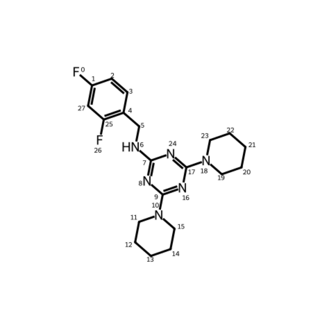 Fc1ccc(CNc2nc(N3CCCCC3)nc(N3CCCCC3)n2)c(F)c1